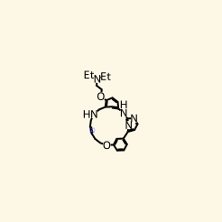 CCN(CC)CCOc1ccc2cc1CNC/C=C\CCOc1cccc(c1)-c1ccnc(n1)N2